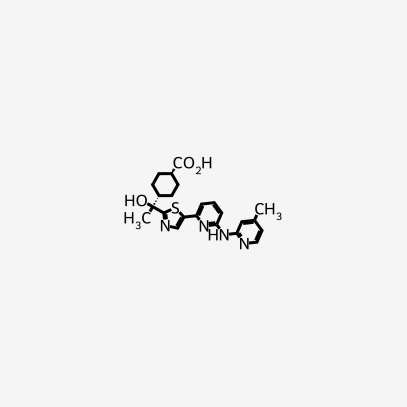 Cc1ccnc(Nc2cccc(-c3cnc(C(C)(O)[C@H]4CC[C@H](C(=O)O)CC4)s3)n2)c1